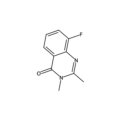 Cc1nc2c(F)cccc2c(=O)n1C